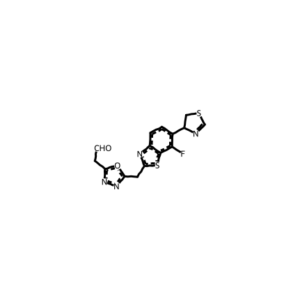 O=CCc1nnc(Cc2nc3ccc(C4CSC=N4)c(F)c3s2)o1